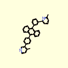 Cc1cccc(-c2cccc(-c3c4ccccc4c(-c4ccc(-c5cnccc5C)cc4)c4ccccc34)c2)n1